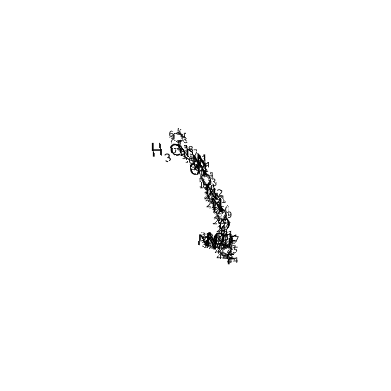 CC(c1ccccc1)N1CCC(n2ncn(-c3ccc(N4CCN(c5ccc(OC[C@@H]6CO[C@@](Cn7cncn7)(c7ccc(F)cc7F)O6)cc5)CC4)cc3)c2=O)CC1